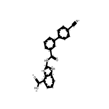 N#Cc1ccc(-c2cccc(C(=O)Nc3nc4c(C(=O)O)cccc4[nH]3)c2)cc1